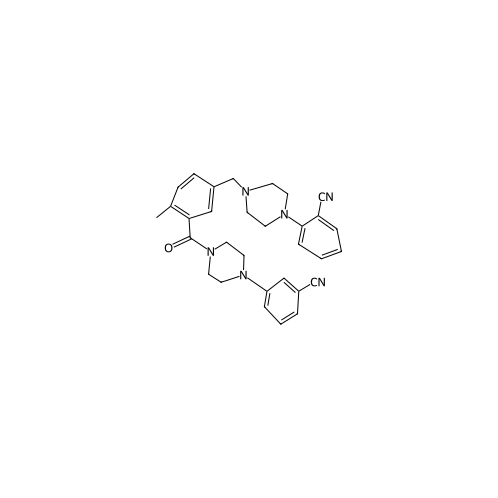 Cc1ccc(CN2CCN(c3ccccc3C#N)CC2)cc1C(=O)N1CCN(c2cccc(C#N)c2)CC1